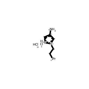 CC(C)CCn1cc(N)cn1.Cl.Cl